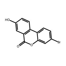 O=c1oc2cc(Br)ccc2c2ccc(O)cc12